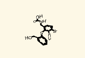 O=C(O)NCc1ccc(Br)c(Cl)c1Sc1ccccc1CO